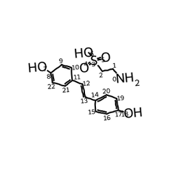 NCCS(=O)(=O)O.Oc1ccc(C=Cc2ccc(O)cc2)cc1